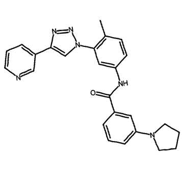 Cc1ccc(NC(=O)c2cccc(N3CCCC3)c2)cc1-n1cc(-c2cccnc2)nn1